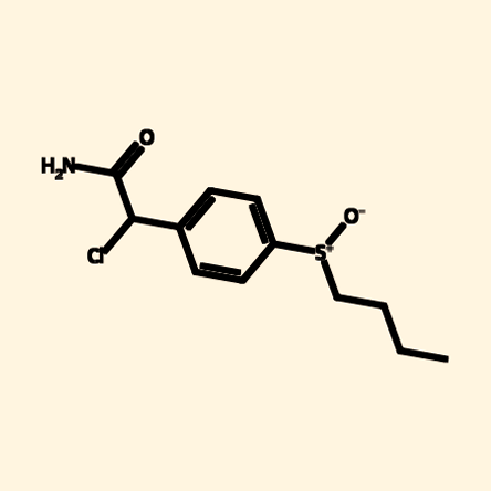 CCCC[S+]([O-])c1ccc(C(Cl)C(N)=O)cc1